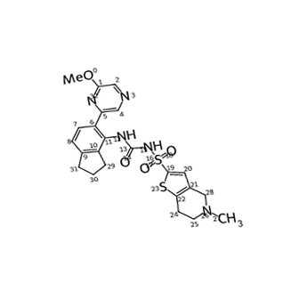 COc1cncc(-c2ccc3c(c2NC(=O)NS(=O)(=O)c2cc4c(s2)CCN(C)C4)CCC3)n1